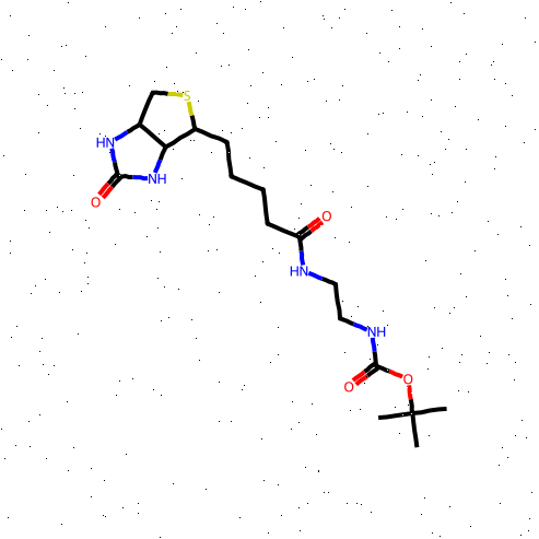 CC(C)(C)OC(=O)NCCNC(=O)CCCCC1SCC2NC(=O)NC21